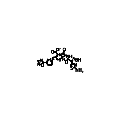 Nc1nc(C(=NO)C(=O)N[C@@H]2C(=O)N3C(C(=O)[O-])=C(C[n+]4cccc(-c5ncno5)c4)CS[C@@H]23)cs1